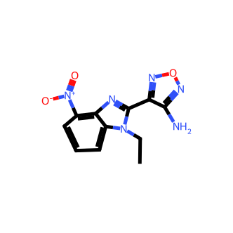 CCn1c(-c2nonc2N)nc2c([N+](=O)[O-])cccc21